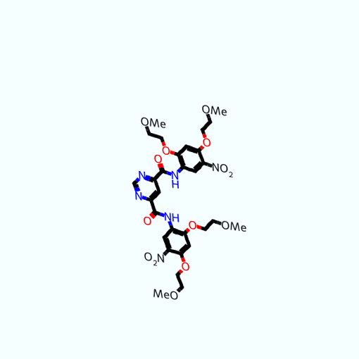 COCCOc1cc(OCCOC)c([N+](=O)[O-])cc1NC(=O)c1cc(C(=O)Nc2cc([N+](=O)[O-])c(OCCOC)cc2OCCOC)ncn1